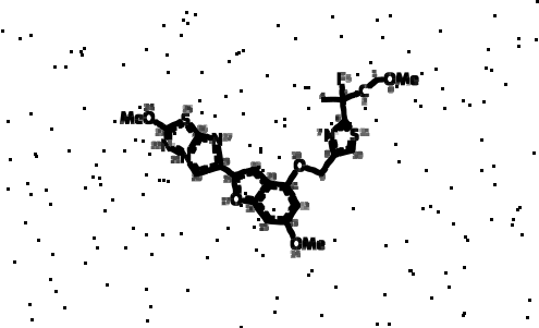 COCCC(C)(F)c1nc(COc2cc(OC)cc3oc(-c4cn5nc(OC)sc5n4)cc23)cs1